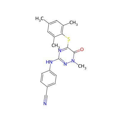 Cc1cc(C)c(Sc2nc(Nc3ccc(C#N)cc3)nn(C)c2=O)c(C)c1